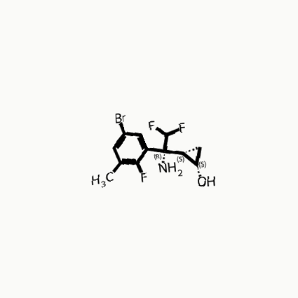 Cc1cc(Br)cc([C@@](N)(C(F)F)[C@@H]2C[C@@H]2O)c1F